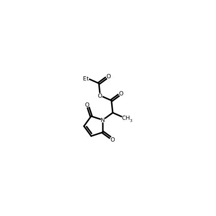 CCC(=O)OC(=O)C(C)N1C(=O)C=CC1=O